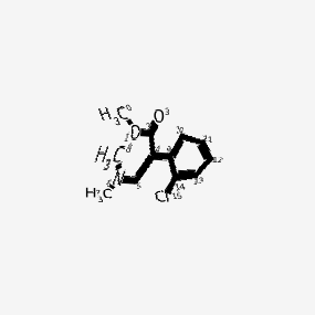 COC(=O)/C(=C\N(C)C)c1ccccc1Cl